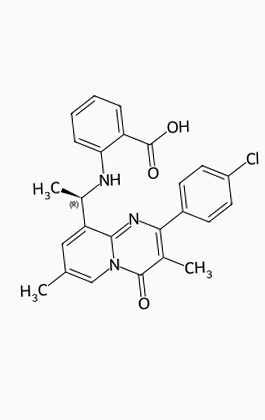 Cc1cc([C@@H](C)Nc2ccccc2C(=O)O)c2nc(-c3ccc(Cl)cc3)c(C)c(=O)n2c1